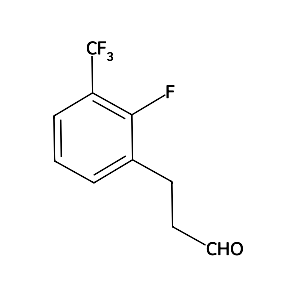 O=CCCc1cccc(C(F)(F)F)c1F